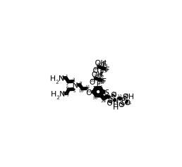 NCCCN(CCCN)CCCOc1ccc2sc(S(=O)(=O)NCP(=O)(O)O)cc2c1.O=C(O)C(F)(F)F.O=C(O)C(F)(F)F